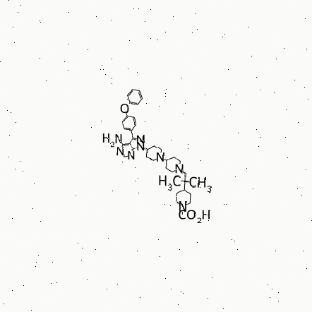 CC(C)(CN1CCC(N2CCC(n3nc(-c4ccc(Oc5ccccc5)cc4)c4c(N)ncnc43)CC2)CC1)C1CCN(C(=O)O)CC1